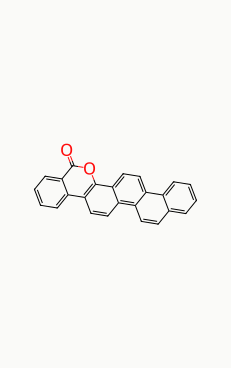 O=c1oc2c(ccc3c4ccc5ccccc5c4ccc32)c2ccccc12